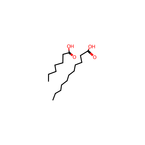 CCCCCCC(=O)O.CCCCCCCCCCC(=O)O